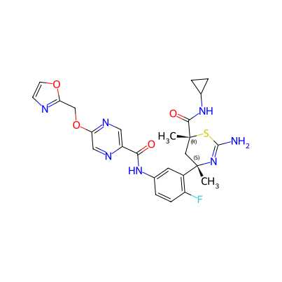 C[C@]1(C(=O)NC2CC2)C[C@@](C)(c2cc(NC(=O)c3cnc(OCc4ncco4)cn3)ccc2F)N=C(N)S1